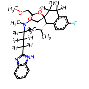 [2H]C([2H])(c1nc2ccccc2[nH]1)C([2H])([2H])C([2H])([2H])N(C)CC[C@]1(OC(=O)COC)[C@@H](C(C)C)c2ccc(F)cc2C([2H])([2H])C1([2H])[2H]